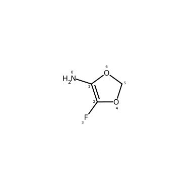 NC1=C(F)OCO1